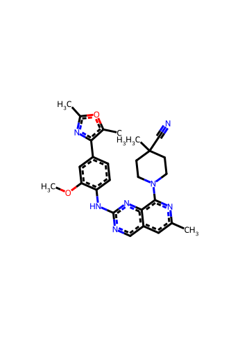 COc1cc(-c2nc(C)oc2C)ccc1Nc1ncc2cc(C)nc(N3CCC(C)(C#N)CC3)c2n1